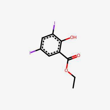 CCOC(=O)c1cc(I)cc(I)c1O